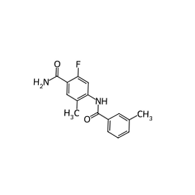 Cc1cccc(C(=O)Nc2cc(F)c(C(N)=O)cc2C)c1